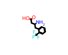 NC(CC(=O)O)Cc1ccccc1C(F)(F)F